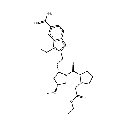 CCOC(=O)CN1CCC[C@@H]1C(=O)N1C[C@@H](OC)C[C@@H]1CCc1cc2ccc(C(=N)N)cc2n1CC